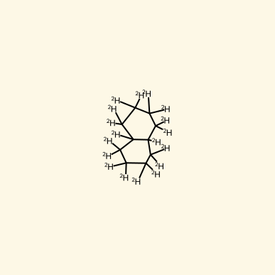 [2H]C1([2H])C([2H])([2H])C([2H])([2H])C2([2H])C([2H])([2H])C([2H])([2H])C([2H])([2H])C([2H])([2H])C2([2H])C1([2H])[2H]